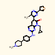 Cc1cnc(-c2ccsc2)nc1-c1cc2cnc(Nc3ccc(C4CCN(C)CC4)cc3)nc2n(CC2CC2)c1=O